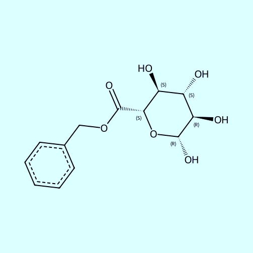 O=C(OCc1ccccc1)[C@H]1O[C@@H](O)[C@H](O)[C@@H](O)[C@@H]1O